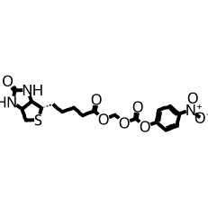 O=C1NC2CS[C@@H](CCCCC(=O)OCOC(=O)Oc3ccc([N+](=O)[O-])cc3)C2N1